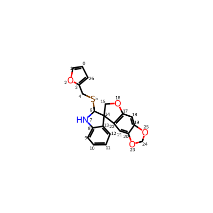 c1coc(CSC2Nc3ccccc3C23COc2cc4c(cc23)OCO4)c1